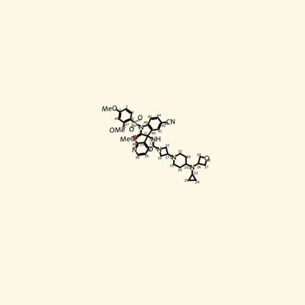 COc1ccc(S(=O)(=O)N2C(=O)C(NC(=O)N3CC(N4CCC(N(C5CC5)C5COC5)CC4)C3)(c3cccnc3OC)c3cc(C#N)ccc32)c(OC)c1